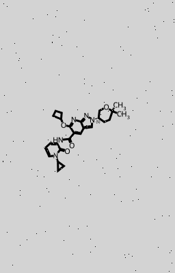 CC1(C)CC[C@H](n2cc3cc(C(=O)Nc4cccn(C5CC5)c4=O)c(OC4CCC4)nc3n2)CO1